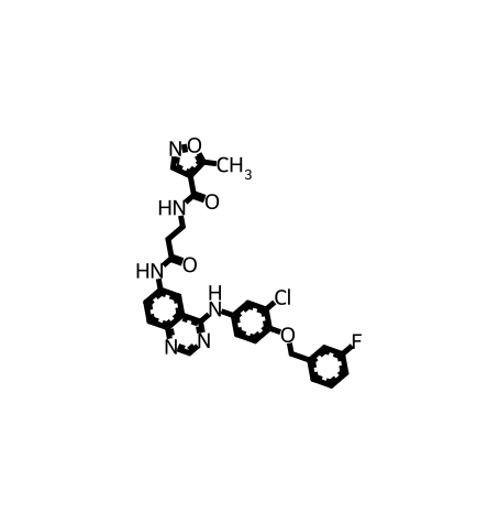 Cc1oncc1C(=O)NCCC(=O)Nc1ccc2ncnc(Nc3ccc(OCc4cccc(F)c4)c(Cl)c3)c2c1